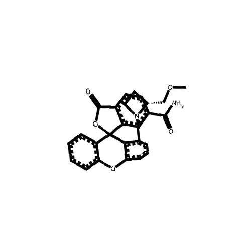 COC[C@H]1CCN1c1cccc2c1C1(OC(=O)c3ccc(C(N)=O)cc31)c1ccccc1O2